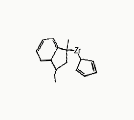 CC1C[C](C)([Zr][CH]2C=CC=C2)C2=CC=CCC21